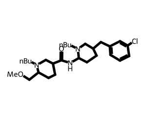 CCCCN1CC(C(=O)NC2CCC(Cc3cccc(Cl)c3)CN2CCCC)CCC1COC